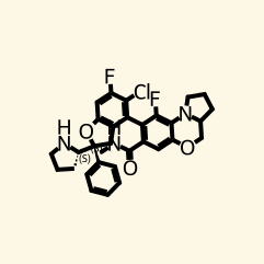 CNC(=O)c1cc2c(c(F)c1-c1c(Cl)c(F)cc3c1C[C@](c1ccccc1)([C@@H]1CCCN1)O3)N1CCCC1CO2